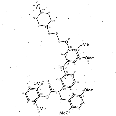 COc1ccc(OC)c(CN(C(=O)Oc2c(OC)cccc2OC)c2ccnc(Nc3cc(OC)c(OC)c(OCCCN4CCN(C)CC4)c3)n2)c1